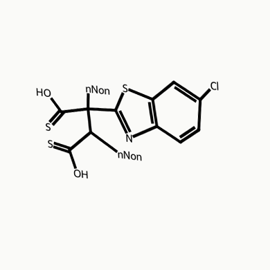 CCCCCCCCCC(C(O)=S)C(CCCCCCCCC)(C(O)=S)c1nc2ccc(Cl)cc2s1